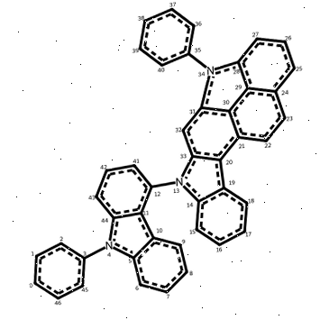 c1ccc(-n2c3ccccc3c3c(-n4c5ccccc5c5c6ccc7cccc8c7c6c(cc54)n8-c4ccccc4)cccc32)cc1